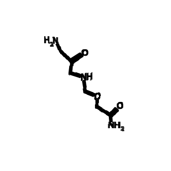 NCC(=O)CNCOCC(N)=O